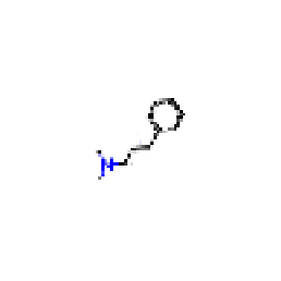 CN(C)[CH]/C=C/c1ccccc1